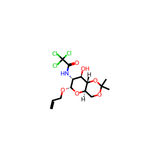 C=CCO[C@H]1O[C@@H]2COC(C)(C)O[C@H]2[C@H](O)[C@H]1NC(=O)C(Cl)(Cl)Cl